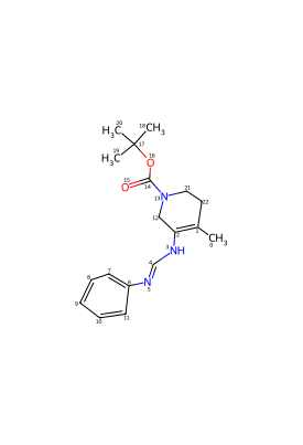 CC1=C(N/C=N/c2ccccc2)CN(C(=O)OC(C)(C)C)CC1